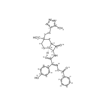 Cn1nnnc1SCC1(C(=O)O)CS[C@@H]2C(NC(=O)C(=NOC(=O)c3ccccc3)c3ccc(O)cc3)C(=O)N2C1